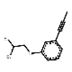 CC#Cc1cccc(OCC(CC)CC)c1